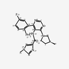 C[C@H]1CCN(c2ncnc(-c3cc(F)ccc3P)c2NC(=O)c2cn(C)cn2)C1